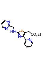 CCOC(=O)Cc1sc(NCc2ncccn2)nc1-c1ccccn1